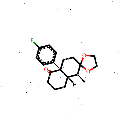 C[C@H]1[C@@H]2CCCC(=O)[C@@]2(c2ccc(F)cc2)CCC12OCCO2